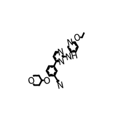 CCOc1ccc(Nc2nccc(-c3ccc(OC4CCOCC4)c(C#N)c3)n2)cn1